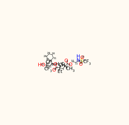 CCC(C)(CC(C)(C)C(=O)OCCNS(=O)(=O)C(F)(F)F)C(=O)OC(CC(O)(C(F)(F)F)C(F)(F)F)C1CCCCC1